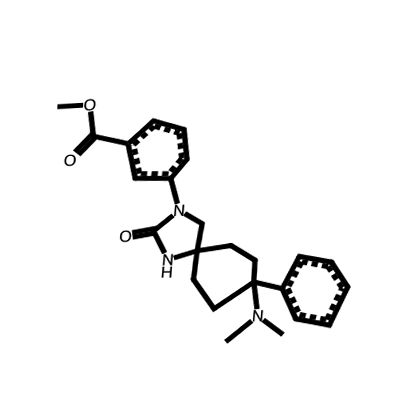 COC(=O)c1cccc(N2CC3(CCC(c4ccccc4)(N(C)C)CC3)NC2=O)c1